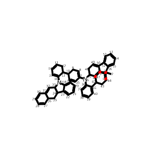 CC1(C)C2=CC(N(C3=CCC(C4CC=CC=C4N4c5ccccc5C5CC6C=CC=CC6=CC54)C=C3)c3ccccc3C3CC=CCC3)CC=C2c2ccccc21